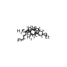 CCO[C@@H]1CC[C@@]2(C)C(=CC[C@H]3[C@@H]4CC[C@H]([C@H](C)CCCC(C)C)[C@@]4(C)CC[C@@H]32)C1